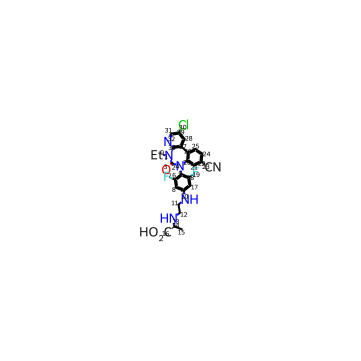 CCN1C(=O)N(c2c(F)cc(NCCN[C@H](C)C(=O)O)cc2F)c2cc(C#N)ccc2-c2cc(Cl)cnc21